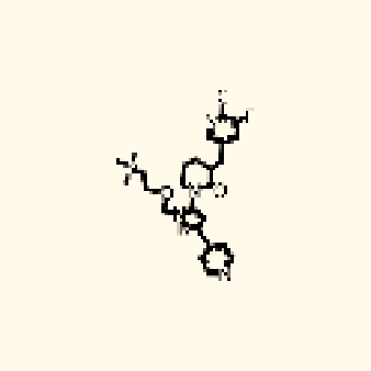 C[Si](C)(C)CCOCn1nc(-c2ccncc2)cc1N1CCCC(Cc2cnc(Cl)c(F)c2)C1=O